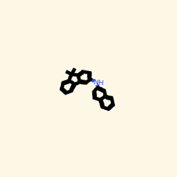 CC1(C)c2ccccc2-c2cc(Nc3ccc4ccccc4c3)ccc21